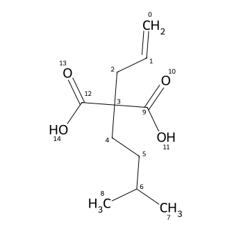 C=CCC(CCC(C)C)(C(=O)O)C(=O)O